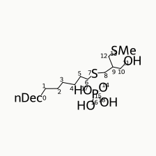 CCCCCCCCCCCCCCCCSCC(CO)CSC.O=P(O)(O)O